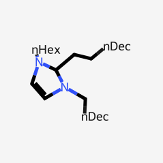 CCCCCCCCCCCCC1N(CCCCCC)C=CN1CCCCCCCCCCC